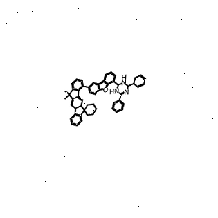 CC1(C)C2=CC3c4ccccc4C4(CCCCC4)C3C=C2c2c(-c3ccc4oc5c(C6NC(c7ccccc7)=NC(C7C=CC=CC7)N6)cccc5c4c3)cccc21